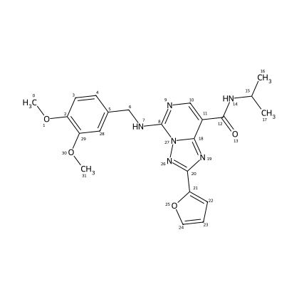 COc1ccc(CNc2ncc(C(=O)NC(C)C)c3nc(-c4ccco4)nn23)cc1OC